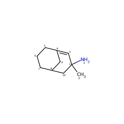 CC1(N)C=C2CCCC(C2)C1